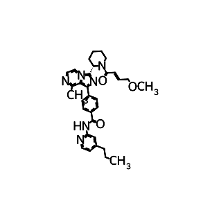 CCCc1ccnc(NC(=O)c2ccc(-c3nc([C@@H]4CCCCN4C(=O)C=CCOC)n4ccnc(C)c34)cc2)c1